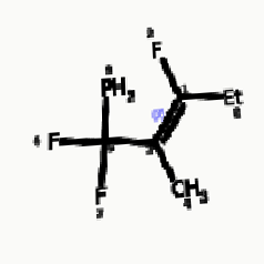 CC/C(F)=C(\C)C(F)(F)P